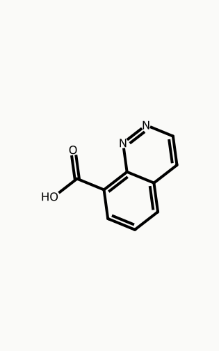 O=C(O)c1cccc2ccnnc12